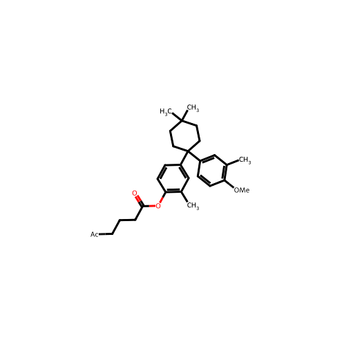 COc1ccc(C2(c3ccc(OC(=O)CCCC(C)=O)c(C)c3)CCC(C)(C)CC2)cc1C